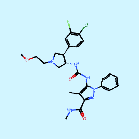 CNC(=O)c1nn(-c2ccccc2)c(NC(=O)N[C@@H]2CN(CCOC)C[C@H]2c2ccc(Cl)c(F)c2)c1C